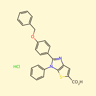 Cl.O=C(O)c1cc2nc(-c3ccc(OCc4ccccc4)cc3)n(-c3ccccc3)c2s1